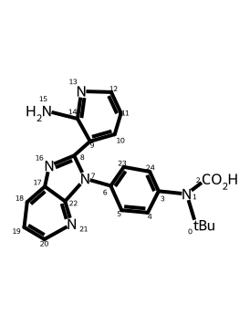 CC(C)(C)N(C(=O)O)c1ccc(-n2c(-c3cccnc3N)nc3cccnc32)cc1